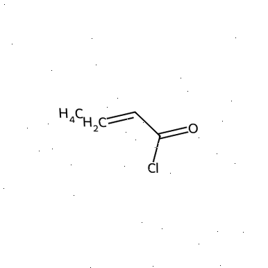 C.C=CC(=O)Cl